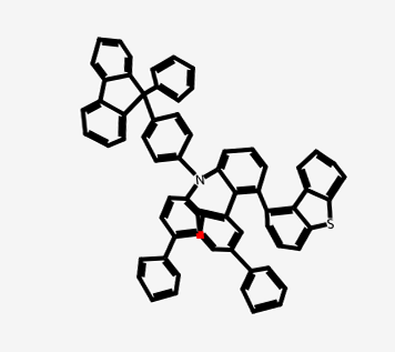 c1ccc(-c2ccc(N(c3ccc(C4(c5ccccc5)c5ccccc5-c5ccccc54)cc3)c3cccc(-c4cccc5sc6ccccc6c45)c3-c3cccc(-c4ccccc4)c3)cc2)cc1